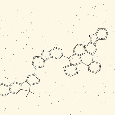 CC1(C)c2ccc(-c3ccc4oc5ccc(-c6c7ccccc7c(-c7ccccc7-c7ccc8oc9ccccc9c8c7)c7ccccc67)cc5c4c3)cc2-c2cc3ccccc3cc21